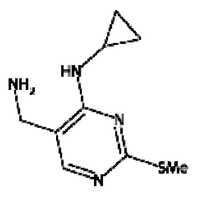 CSc1ncc(CN)c(NC2CC2)n1